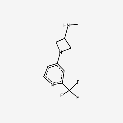 CNC1CN(c2ccnc(C(F)(F)F)c2)C1